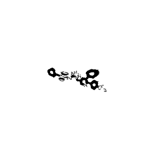 N/C(=N\S(=O)(=O)c1ccccc1)NCc1cnc(-c2ccc(C(F)(F)F)cc2)c(-c2ccccc2)c1